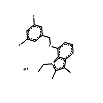 CCn1c(C)c(C)c2nccc(OCc3cc(F)cc(F)c3)c21.Cl